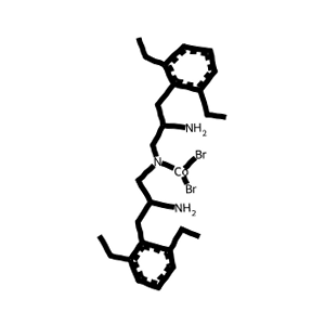 CCc1cccc(CC)c1CC(N)C[N](CC(N)Cc1c(CC)cccc1CC)[Co]([Br])[Br]